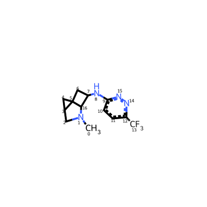 CN1CC2CC23CC(Nc2ccc(C(F)(F)F)nn2)C13